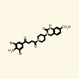 Nc1c(Br)cc(C(=O)CCC(=O)N2CCC(N3Cc4ccc(C(=O)O)cc4NC3=O)CC2)cc1Br